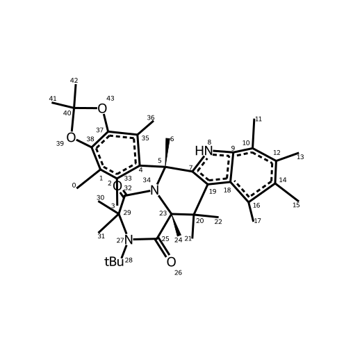 Cc1c(C)c([C@]2(C)c3[nH]c4c(C)c(C)c(C)c(C)c4c3C(C)(C)[C@]3(C)C(=O)N(C(C)(C)C)C(C)(C)C(=O)N23)c(C)c2c1OC(C)(C)O2